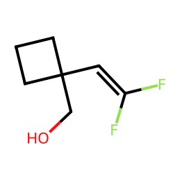 OCC1(C=C(F)F)CCC1